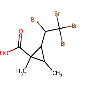 CC1C(C(Br)C(Br)(Br)Br)C1(C)C(=O)O